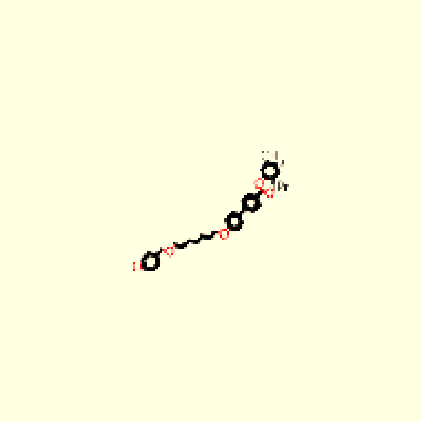 CC1CCC(C(C)C)C(OC(=O)c2ccc(-c3ccc(OCCCCCCCOCC4CCC5OC5C4)cc3)cc2)C1